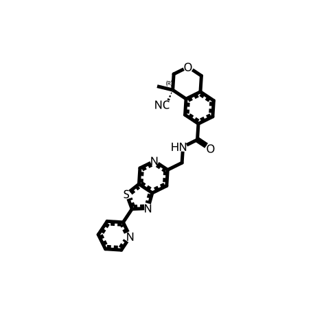 C[C@@]1(C#N)COCc2ccc(C(=O)NCc3cc4nc(-c5ccccn5)sc4cn3)cc21